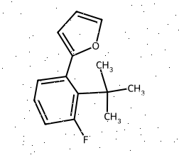 CC(C)(C)c1c(F)cccc1-c1ccco1